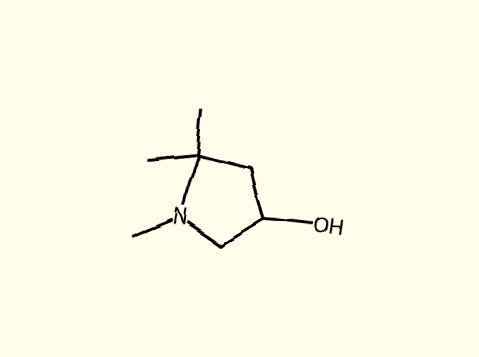 CN1CC(O)CC1(C)C